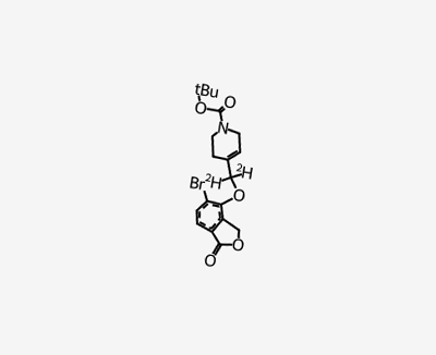 [2H]C([2H])(Oc1c(Br)ccc2c1COC2=O)C1=CCN(C(=O)OC(C)(C)C)CC1